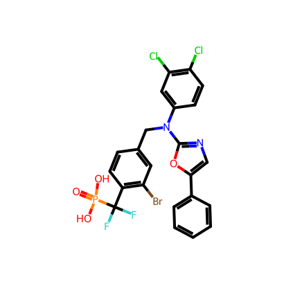 O=P(O)(O)C(F)(F)c1ccc(CN(c2ccc(Cl)c(Cl)c2)c2ncc(-c3ccccc3)o2)cc1Br